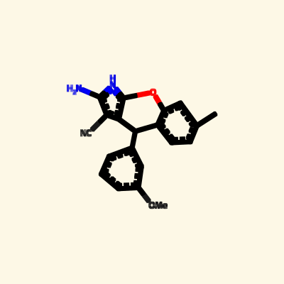 COc1cccc(C2c3ccc(C)cc3Oc3[nH]c(N)c(C#N)c32)c1